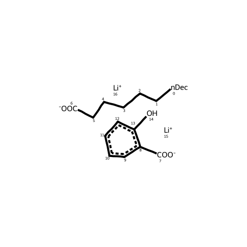 CCCCCCCCCCCCCCCC(=O)[O-].O=C([O-])c1ccccc1O.[Li+].[Li+]